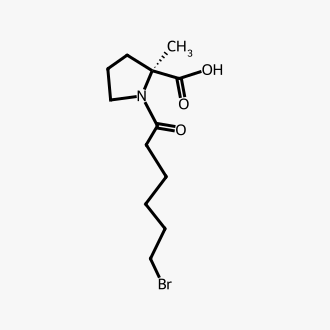 C[C@@]1(C(=O)O)CCCN1C(=O)CCCCCBr